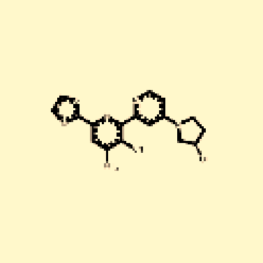 N#Cc1c(N)cc(-c2nccs2)nc1-c1cc(N2CC[C@@H](O)C2)ccn1